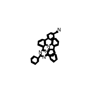 N#Cc1ccc(-c2cccc(-c3nc(-c4ccccc4)nc(-c4ccccc4)n3)c2-n2c3ccccc3c3ccccc32)cc1